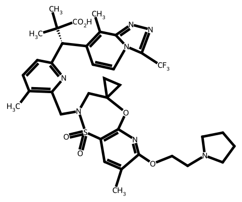 Cc1ccc([C@@H](c2ccn3c(C(F)(F)F)nnc3c2C)C(C)(C)C(=O)O)nc1CN1CC2(CC2)Oc2nc(OCCN3CCCC3)c(C)cc2S1(=O)=O